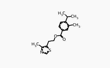 Cc1cc(C(=O)OCCc2scnc2C)ccc1C(C)C